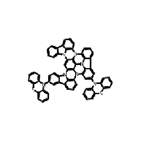 c1ccc2c(c1)Sc1ccccc1N2c1ccc2c(c1)c1cccc3c1n2-c1cc2c4c5c1B3c1cc(N3c6ccccc6Sc6ccccc63)cc3c6cccc(c6n-5c13)B4c1cccc3c4ccccc4n-2c13